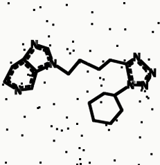 c1cc2ncn(CCCCc3nnnn3C3CCCCC3)c2cn1